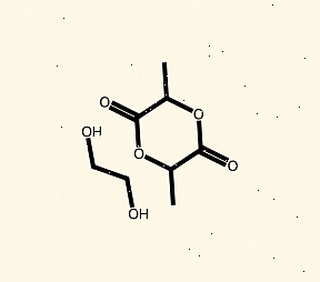 CC1OC(=O)C(C)OC1=O.OCCO